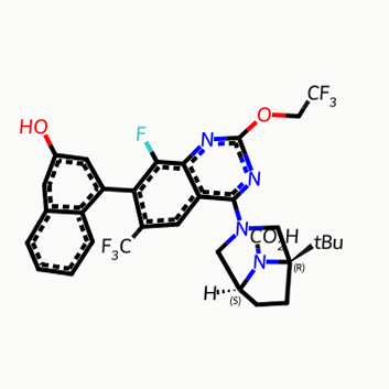 CC(C)(C)[C@]12CC[C@@H](CN(c3nc(OCC(F)(F)F)nc4c(F)c(-c5cc(O)cc6ccccc56)c(C(F)(F)F)cc34)C1)N2C(=O)O